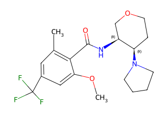 COc1cc(C(F)(F)F)cc(C)c1C(=O)N[C@H]1COCC[C@H]1N1CCCC1